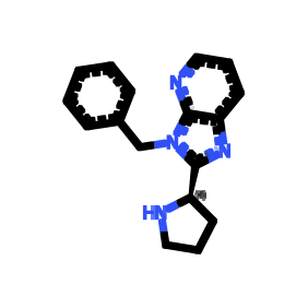 c1ccc(Cn2c([C@H]3CCCN3)nc3cccnc32)cc1